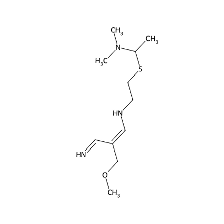 COC/C(C=N)=C/NCCSC(C)N(C)C